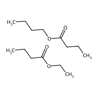 CCCC(=O)OCC.CCCCOC(=O)CCC